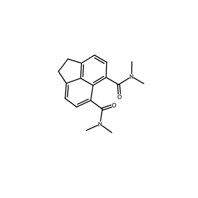 CN(C)C(=O)c1ccc2c3c(ccc(C(=O)N(C)C)c13)CC2